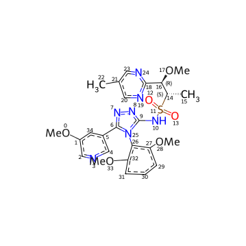 COc1cncc(-c2nnc(NS(=O)(=O)[C@@H](C)[C@H](OC)c3ncc(C)cn3)n2-c2c(OC)cccc2OC)c1